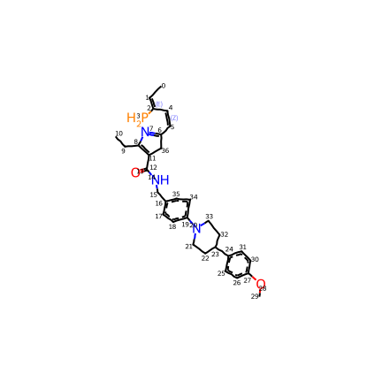 C/C=C(P)\C=C/C1=NC(CC)=C(C(=O)NCc2ccc(N3CCC(c4ccc(OC)cc4)CC3)cc2)C1